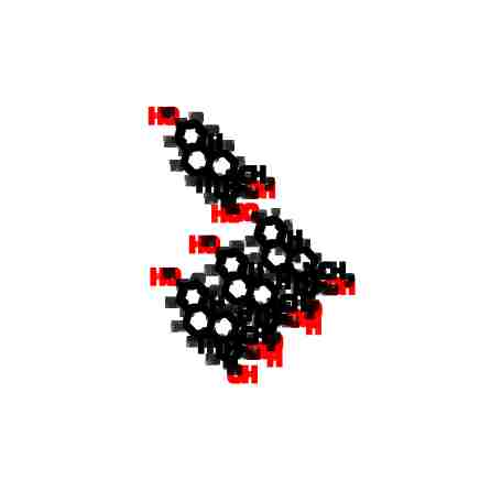 C[C@]12CC[C@@H]3c4ccc(O)cc4CC[C@H]3[C@@H]1C[C@@H](O)[C@@H]2O.C[C@]12CC[C@@H]3c4ccc(O)cc4CC[C@H]3[C@@H]1C[C@@H](O)[C@@H]2O.C[C@]12CC[C@@H]3c4ccc(O)cc4CC[C@H]3[C@@H]1C[C@@H](O)[C@@H]2O.C[C@]12CC[C@@H]3c4ccc(O)cc4CC[C@H]3[C@@H]1C[C@@H](O)[C@@H]2O